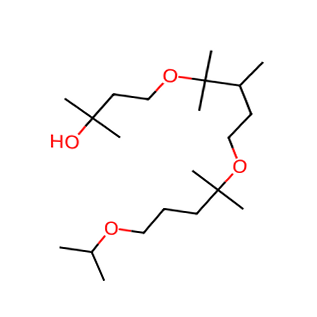 CC(C)OCCCC(C)(C)OCCC(C)C(C)(C)OCCC(C)(C)O